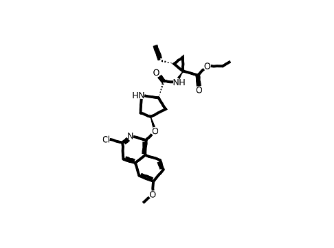 C=C[C@@H]1C[C@]1(NC(=O)[C@@H]1C[C@@H](Oc2nc(Cl)cc3cc(OC)ccc23)CN1)C(=O)OCC